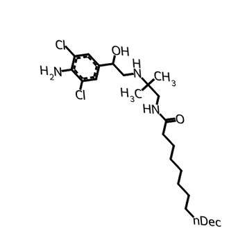 CCCCCCCCCCCCCCCCCC(=O)NCC(C)(C)NCC(O)c1cc(Cl)c(N)c(Cl)c1